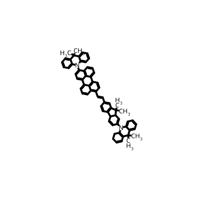 CC1(C)C2=C(CCC=C2)N(C2=CC3C(C=C2)c2ccc(/C=C/c4ccc5c6cccc7c(N8c9ccccc9C(C)(C)c9ccccc98)ccc(c8cccc4c58)c76)cc2C3(C)C)c2ccccc21